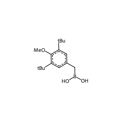 COc1c(C(C)(C)C)cc(CB(O)O)cc1C(C)(C)C